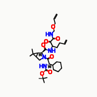 C=CCCC(NC(=O)[C@@H]1C2C(CN1C(=O)[C@@H](NC(=O)OC(C)(C)C)C1CCCCC1)C2(C)C)C(=O)C(=O)NCOCC=C